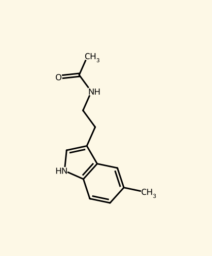 CC(=O)NCCc1c[nH]c2ccc(C)cc12